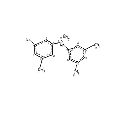 B.Cc1cc(C)cc(Pc2cc(C)cc(C)c2)c1